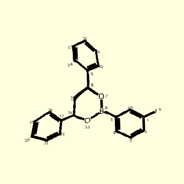 Ic1cccc(B2OC(c3ccccc3)CC(c3ccccc3)O2)c1